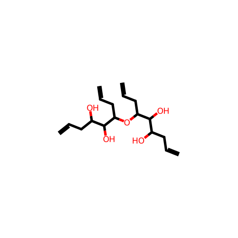 C=CCC(O)C(O)C(CC=C)OC(CC=C)C(O)C(O)CC=C